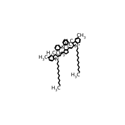 CCCCCCCCCCCCN1/C(=C/C=C2\CCC(/C=C/C3=[N+](CCCCCCCCCCCC)c4ccc(C)cc4C3(C)C)=C2N(c2ccccc2)c2ccccc2)C(C)(C)c2cc(C)ccc21